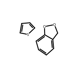 c1ccc2c(c1)COO2.c1ccsc1